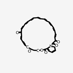 O=C1/C=C\C=C/CC(=O)CCOC(=O)C2=CC=CCN2C(=O)C(=O)/C=C/C=C/C=C/C=C/C=C/C=C\C=C\C=C\1